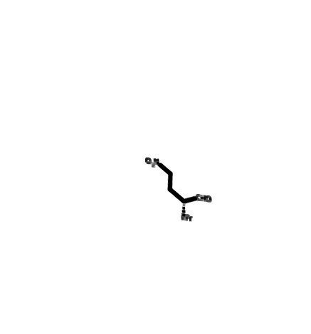 CCC[C@@H](C=O)CC[N+](=O)[O-]